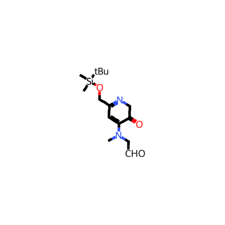 CN(CC=O)C1=CC(CO[Si](C)(C)C(C)(C)C)=NCC1=O